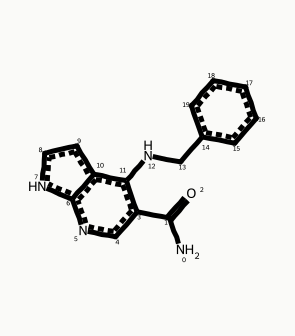 NC(=O)c1cnc2[nH]ccc2c1NCc1ccccc1